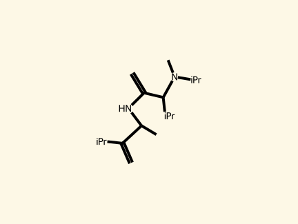 C=C(C(C)C)C(C)NC(=C)C(C(C)C)N(C)C(C)C